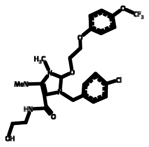 CNC1=C(C(=O)NCCO)N(Cc2ccc(Cl)cc2)C(OCCOc2ccc(OC(F)(F)F)cc2)N1C